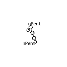 CCCCCOc1ccc(-c2ccc([C@@H]3CC[C@@H](CCCCC)CC3=O)cc2)cc1